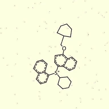 c1ccc2c([S+](c3ccc(OCC4CCCCC4)c4ccccc34)C3CCCCC3)cccc2c1